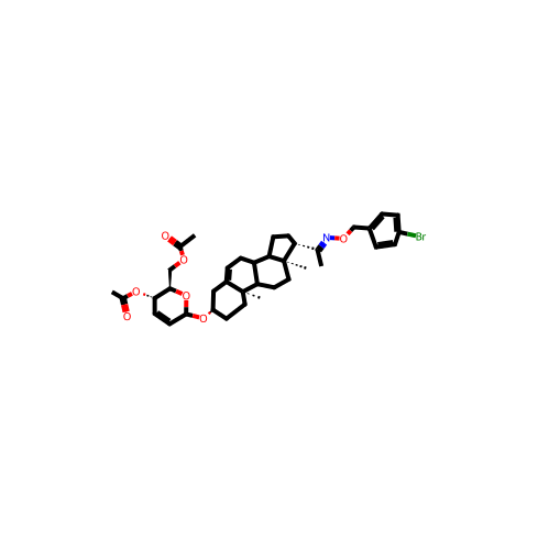 CC(=O)OC[C@H]1OC(O[C@H]2CC[C@@]3(C)C(=CCC4C3CC[C@@]3(C)C4CC[C@@H]3/C(C)=N/OCc3ccc(Br)cc3)C2)C=C[C@@H]1OC(C)=O